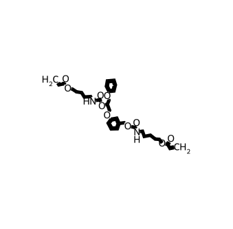 C=CC(=O)OCCCCCNC(=O)OCc1cccc(OCC(COc2ccccc2)OC(=O)NCCCCCOC(=O)C=C)c1